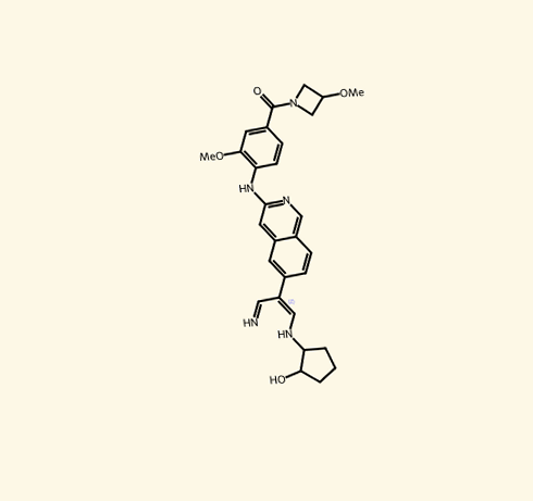 COc1cc(C(=O)N2CC(OC)C2)ccc1Nc1cc2cc(/C(C=N)=C/NC3CCCC3O)ccc2cn1